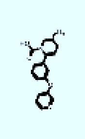 C[C@H]1CC=C(c2cccc(Oc3cccnc3)c2)N(C(=O)O)C1